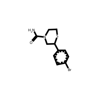 NC(=O)N1CCSC(c2ccc(Br)cc2)C1